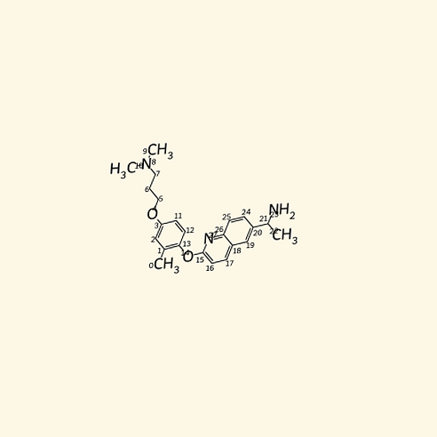 Cc1cc(OCCCN(C)C)ccc1Oc1ccc2cc(C(C)N)ccc2n1